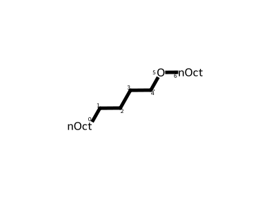 CCCCCCCCCCC[CH]OCCCCCCCC